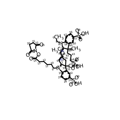 CCN1/C(=C/C=C/C2=[N+](CCCCCC(=O)ON3C(=O)CCC3=O)c3ccc(S(=O)(=O)O)cc3C2(C)CCOC)C(C)(CCCS(=O)(=O)O)c2cc(S(=O)(=O)O)ccc21